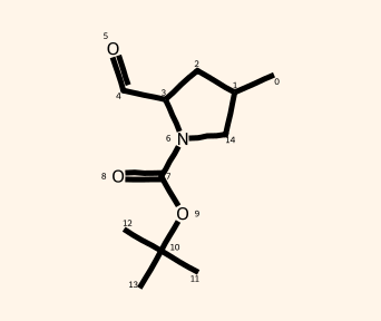 CC1CC(C=O)N(C(=O)OC(C)(C)C)C1